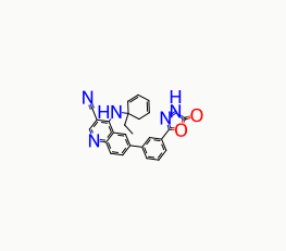 CCC1(Nc2c(C#N)cnc3ccc(-c4cccc(-c5n[nH]c(=O)o5)c4)cc23)C=CC=CC1